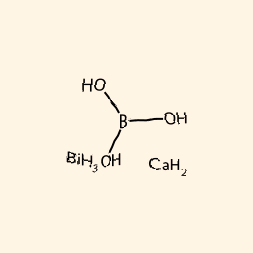 OB(O)O.[BiH3].[CaH2]